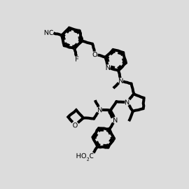 CC1CCC(CN(C)c2cccc(OCc3ccc(C#N)cc3F)n2)N1C/C(=N/c1ccc(C(=O)O)cc1)N(C)CC1CCO1